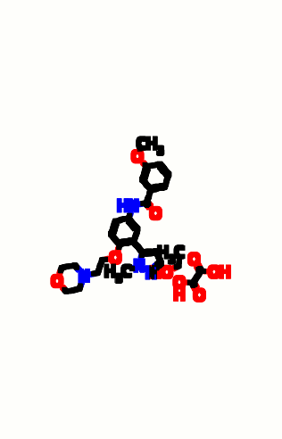 CCO.COc1cccc(C(=O)Nc2ccc(OCCN3CCOCC3)c(-c3ccnn3C)c2)c1.O=C(O)C(=O)O